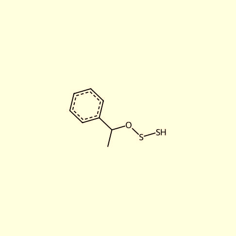 CC(OSS)c1ccccc1